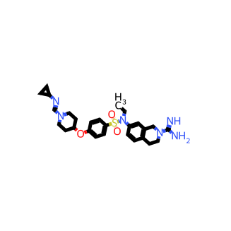 CCN(c1ccc2c(c1)CN(C(=N)N)CC2)S(=O)(=O)c1ccc(OC2CCN(C=NC3CC3)CC2)cc1